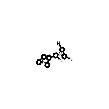 N#Cc1ccc2c(c1)c1ccc(C#N)cc1n2-c1ccc(-c2cccc(-c3ccccc3-n3c4ccccc4c4ccccc43)c2)cc1C#N